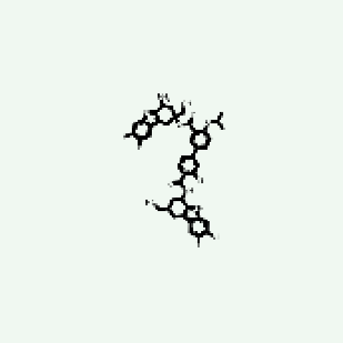 CC(C)Oc1ccc(-c2ccc(C(=O)NC3CC(CO)Cc4c3[nH]c3cc(Cl)c(F)cc43)c(Cl)c2)cc1C(=O)OC1(CO)Cc2c([nH]c3cc(Cl)c(F)cc23)C(N)C1